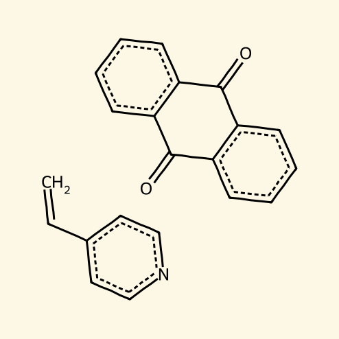 C=Cc1ccncc1.O=C1c2ccccc2C(=O)c2ccccc21